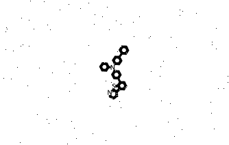 c1ccc(-c2ccc(N(c3ccccc3)c3ccc(-c4cccc5c4sc4ncccc45)cc3)cc2)cc1